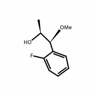 CO[C@@H](c1ccccc1F)[C@H](C)O